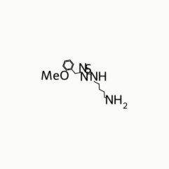 COc1ccccc1Cc1nsc(NCCCCCN)n1